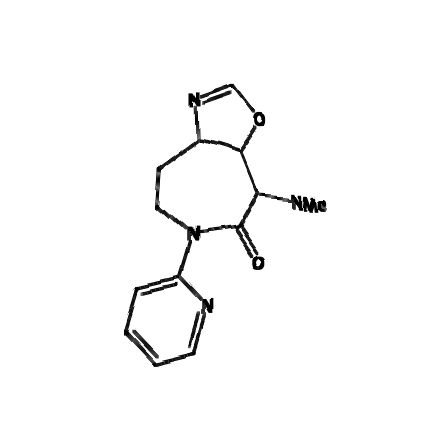 CNC1C(=O)N(c2ccccn2)CCC2N=COC21